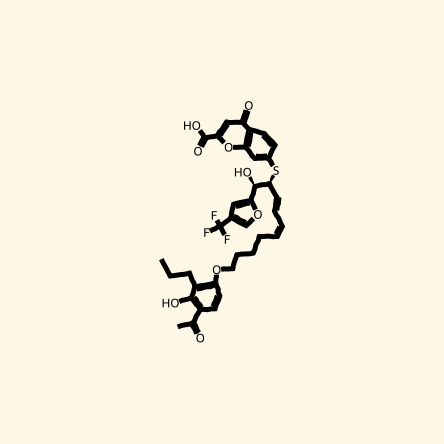 CCCc1c(OCCCC/C=C\C=C\[C@H](Sc2ccc3c(=O)cc(C(=O)O)oc3c2)[C@H](O)c2cc(C(F)(F)F)co2)ccc(C(C)=O)c1O